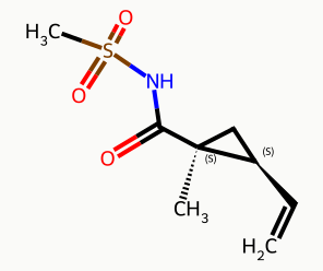 C=C[C@@H]1C[C@]1(C)C(=O)NS(C)(=O)=O